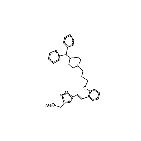 COCc1cc(C=Cc2ccccc2OCCCN2CCN(C(c3ccccc3)c3ccccc3)CC2)on1